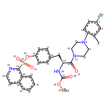 Cc1cc(Br)ccc1N1CCN(C(=O)[C@H](Cc2ccc(OS(=O)(=O)c3nccc4ccccc34)cc2)NC(=O)OC(C)(C)C)CC1